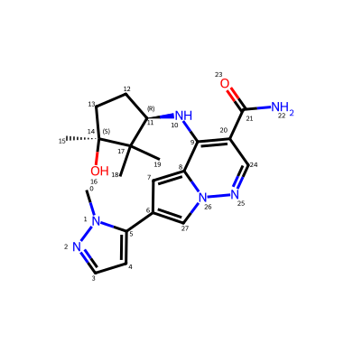 Cn1nccc1-c1cc2c(N[C@@H]3CC[C@](C)(O)C3(C)C)c(C(N)=O)cnn2c1